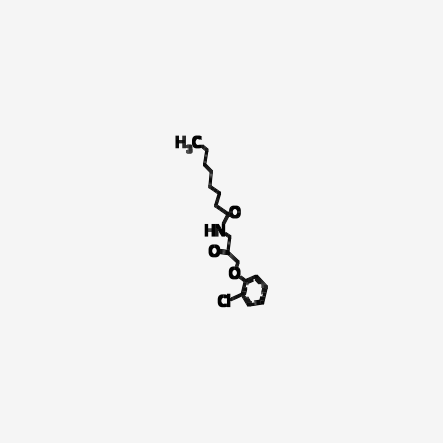 CCCCCCCC(=O)NCC(=O)COc1ccccc1Cl